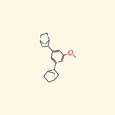 COc1cc(C2CC3CCC2C3)cc(C2CC3CCC2C3)c1